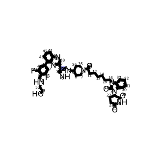 N=C/C(=C\NC1CCN(C(=O)CCCCCCn2c(=O)n(C3CCC(=O)NC3=O)c3ccccc32)CC1)c1cnc2cccc(-c3cc(F)c(CNCCO)c(F)c3)c2n1